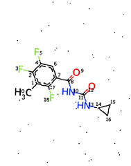 Cc1c(F)c(F)cc(C(=O)NC(=O)NC2CC2)c1F